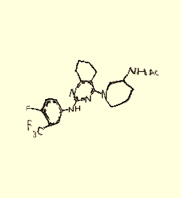 CC(=O)NC1CCCN(c2nc(Nc3ccc(F)c(C(F)(F)F)c3)nc3c2CCCC3)C1